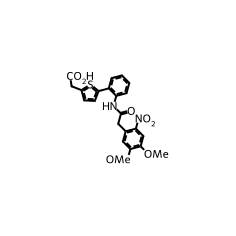 COc1cc(CC(=O)Nc2ccccc2-c2ccc(CC(=O)O)s2)c([N+](=O)[O-])cc1OC